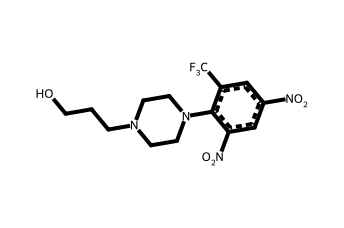 O=[N+]([O-])c1cc([N+](=O)[O-])c(N2CCN(CCCO)CC2)c(C(F)(F)F)c1